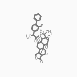 CC(C(=O)OC1C2(C(C)C)OC2C2OC23C2(C)CCC4=C(COC4=O)C2CC2OC213)c1ccc(-c2ccccc2)c(F)c1